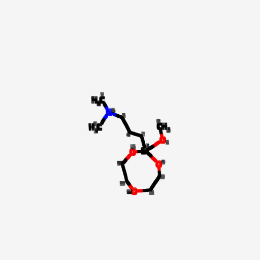 CO[Si]1(CCCN(C)C)OCCOCCO1